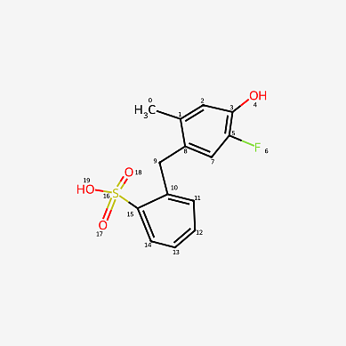 Cc1cc(O)c(F)cc1Cc1ccccc1S(=O)(=O)O